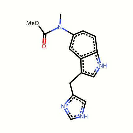 COC(=O)N(C)c1ccc2[nH]cc(Cc3c[nH]cn3)c2c1